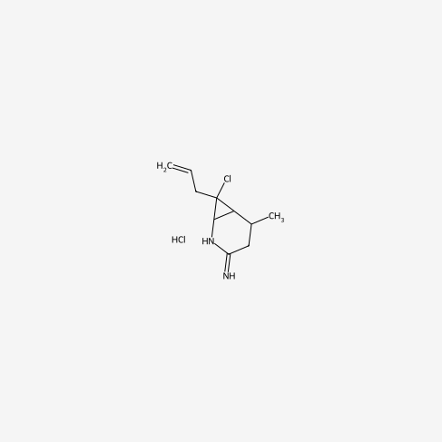 C=CCC1(Cl)C2NC(=N)CC(C)C21.Cl